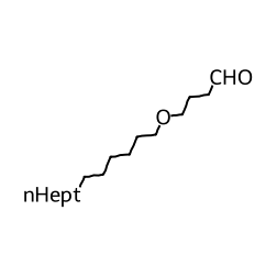 CCCCCCCCCCCCCOCCCC=O